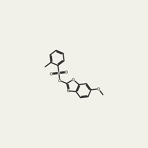 COc1ccc2nc(OS(=O)(=O)c3ccccc3C)oc2c1